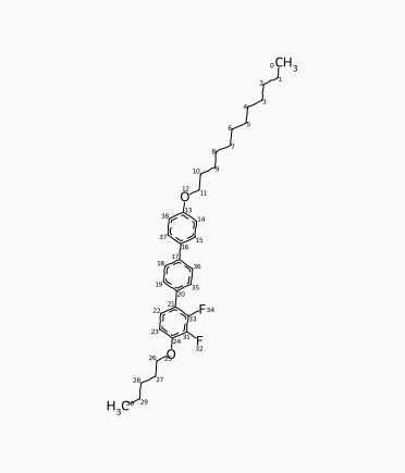 CCCCCCCCCCCCOc1ccc(-c2ccc(-c3ccc(OCCCCC)c(F)c3F)cc2)cc1